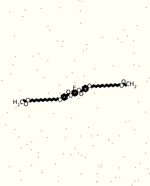 C=CC(=O)OCCCCCCCCCCCCCCOc1ccc(C(=O)Oc2ccc(OC(=O)c3ccc(OCCCCCCCCCCCCCCOC(=O)C=C)cc3)c(F)c2)cc1